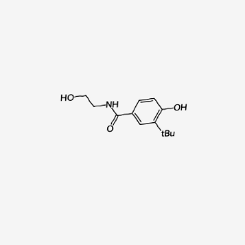 CC(C)(C)c1cc(C(=O)NCCO)ccc1O